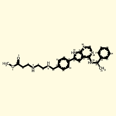 COC(=O)CCNCCNCc1ccc(-c2cc3c(N[C@H](C)c4ccccc4)ncnc3[nH]2)cc1